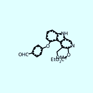 CCOC(=O)Oc1ncc2[nH]c3cccc(Oc4ccc(C=O)cc4)c3c2c1COC